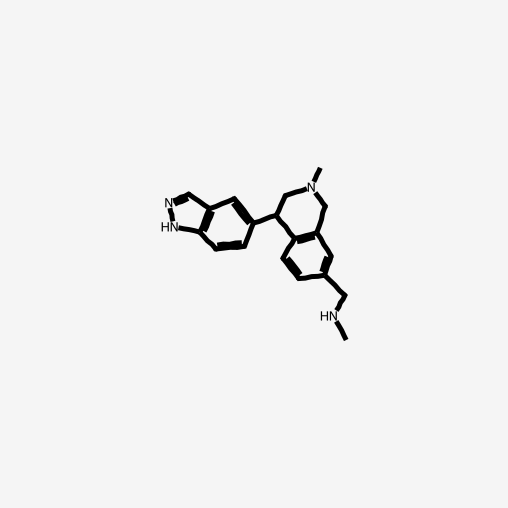 CNCc1ccc2c(c1)CN(C)CC2c1ccc2[nH]ncc2c1